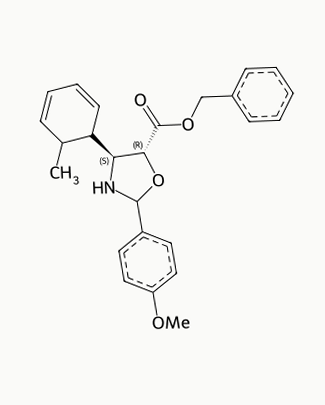 COc1ccc(C2N[C@@H](C3C=CC=CC3C)[C@H](C(=O)OCc3ccccc3)O2)cc1